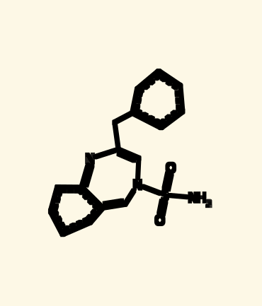 NS(=O)(=O)N1C=C(Cc2ccccc2)N=c2ccccc2=C1